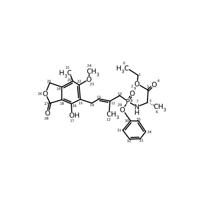 CCOC(=O)[C@H](C)NP(=O)(C/C(C)=C/Cc1c(O)c2c(c(C)c1OC)COC2=O)Oc1ccccc1